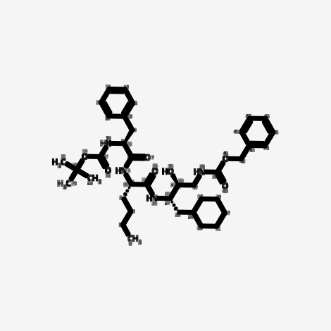 CCCC[C@H](NC(=O)[C@H](Cc1ccccc1)NC(=O)OC(C)(C)C)C(=O)N[C@@H](CC1CCCCC1)[C@@H](O)CNC(=O)OCc1ccccc1